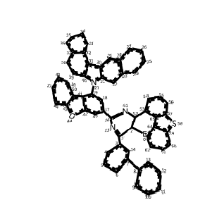 CCC1C(c2cccc(-c3ccccc3)c2)=NC(c2cc(-n3c4cc5ccccc5cc4c4c5ccccc5ccc43)c3c(c2)oc2ccccc23)=NC1c1cccc2sc3ccccc3c12